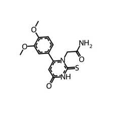 COc1ccc(-c2cc(=O)[nH]c(=S)n2CC(N)=O)cc1OC